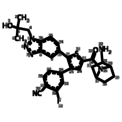 CC(C)(O)Cn1nnc2cc(-c3sc(C(=O)N4C5CCC4C(N)C5)cc3-c3ccc(C#N)c(F)c3)ccc21